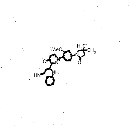 COc1cc(N2CC(C)(C)CC2=O)ccc1-n1ccc(=O)c(/C(=C/C=N)Nc2ccccc2)n1